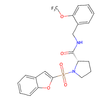 O=C(NCc1ccccc1OC(F)(F)F)[C@@H]1CCCN1S(=O)(=O)c1cc2ccccc2o1